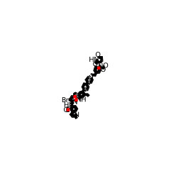 CCc1cc(Nc2ncc(Br)c(Nc3ccc4nc(C)ccc4c3P(C)(C)=O)n2)c(OC)cc1N1CCC(N2CCN(CCc3ccc4c(c3)oc(=O)n4C3CCC(=O)NC3=O)CC2)CC1